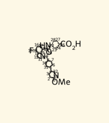 COc1ccc(-c2ccc(Cn3ccc4c(F)ccc(C(=O)NC5CCC(C(=O)O)CC5)c43)cc2)cn1